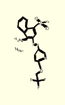 Nc1c(N=Nc2ccc(OCC(F)(F)F)nc2)cc(S(=O)(=O)[O-])c2ccccc12.[Na+]